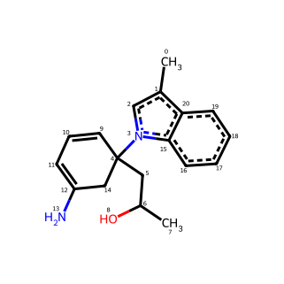 Cc1cn(C2(CC(C)O)C=CC=C(N)C2)c2ccccc12